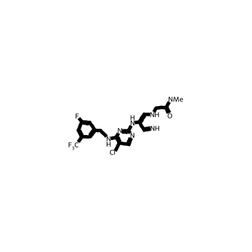 CNC(=O)CN/C=C(\C=N)Nc1ncc(Cl)c(NCc2cc(F)cc(C(F)(F)F)c2)n1